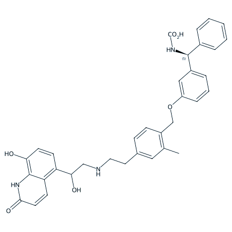 Cc1cc(CCNCC(O)c2ccc(O)c3[nH]c(=O)ccc23)ccc1COc1cccc([C@@H](NC(=O)O)c2ccccc2)c1